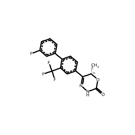 C[C@@H]1OC(=O)NN=C1c1ccc(-c2cccc(F)c2)c(C(F)(F)F)c1